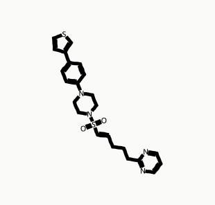 O=S(=O)(C=CCCCc1ncccn1)N1CCN(c2ccc(-c3ccsc3)cc2)CC1